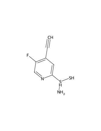 C#Cc1cc([SH](N)S)ncc1F